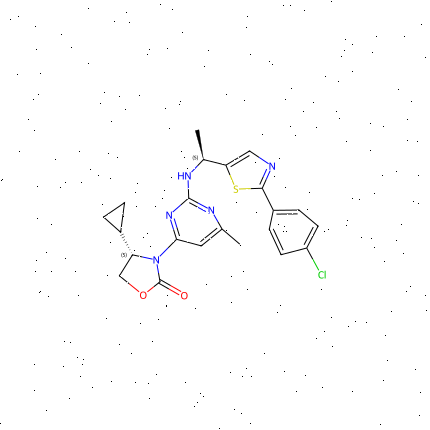 Cc1cc(N2C(=O)OC[C@@H]2C2CC2)nc(N[C@@H](C)c2cnc(-c3ccc(Cl)cc3)s2)n1